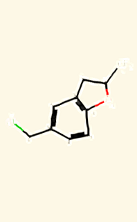 FC(F)(F)C1Cc2cc(CCl)ccc2O1